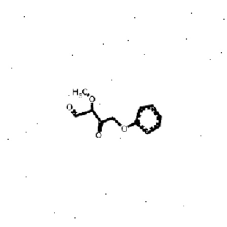 COC([C]=O)C(=O)COc1ccccc1